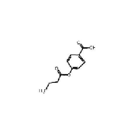 CCCC(=O)Oc1ccc(C(=O)O)cc1